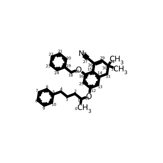 CC(CCCc1ccccc1)Oc1cc2c(c(OCc3ccccc3)c1)C(C#N)=CC(C)(C)C2